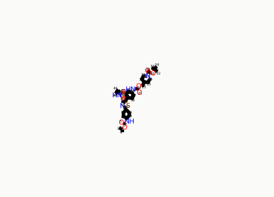 CC(C)OC(=O)N[C@H]1CC[C@H](c2ncc(-c3ccc(NC(=O)OCC4CCN(C(=O)OC(C)(C)C)CC4)cc3S(=O)(=O)NC(C)(C)C)s2)CC1